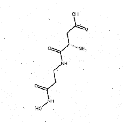 N[C@@H](CC(=O)O)C(=O)NCCC(=O)NO